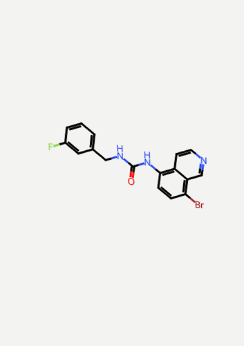 O=C(NCc1cccc(F)c1)Nc1ccc(Br)c2cnccc12